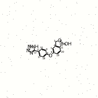 OB1OCc2cc(Oc3ccc(-c4nnn[nH]4)cc3)ccc21